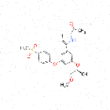 COC[C@H](C)Oc1cc(Oc2ccc(S(C)(=O)=O)cc2)cc(-c2ccc(C(C)=O)[nH]2)c1